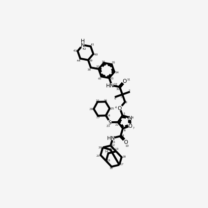 CC(C)(COc1noc(C(=O)NC2C3CC4CC(C3)CC2C4)c1SC1CCCCC1)C(=O)Nc1cccc(CC2CCNCC2)c1